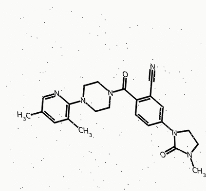 Cc1cnc(N2CCN(C(=O)c3ccc(N4CCN(C)C4=O)cc3C#N)CC2)c(C)c1